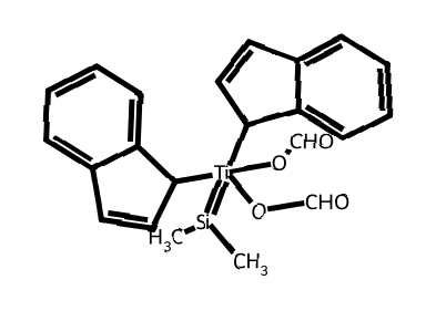 C[Si](C)=[Ti]([O]C=O)([O]C=O)([CH]1C=Cc2ccccc21)[CH]1C=Cc2ccccc21